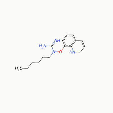 CCCCCCN(Oc1cccc2c1NCC=C2)C(=N)N